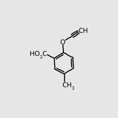 C#COc1ccc(C)cc1C(=O)O